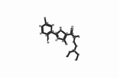 CCN(CC)CCN(C)C(=O)c1sc(-c2cc(C)ccc2F)nc1C